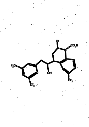 CCC1CC(C(O)Cc2cc(C(F)(F)F)cc(C(F)(F)F)c2)c2cc(C(F)(F)F)ccc2N1C(=O)O